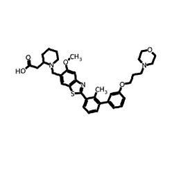 COc1cc2nc(-c3cccc(-c4cccc(OCCCN5CCOCC5)c4)c3C)sc2cc1CN1CCCCC1CC(=O)O